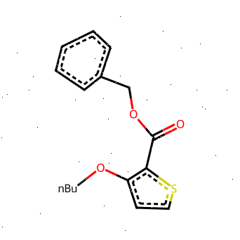 CCCCOc1ccsc1C(=O)OCc1ccccc1